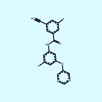 C#Cc1cc(F)cc(C(=O)Nc2cc(F)cc(Oc3cncnc3)c2)c1